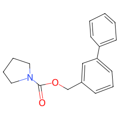 O=C(OCc1cccc(-c2ccccc2)c1)N1CCCC1